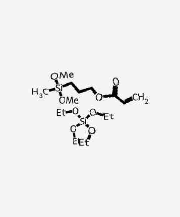 C=CC(=O)OCCC[Si](C)(OC)OC.CCO[Si](OCC)(OCC)OCC